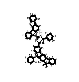 CC1(C)c2ccccc2-c2cc3c4cc(C5=NC(c6ccccc6)NC(n6c7ccccc7c7c8sc9ccccc9c8ccc76)=N5)ccc4n(-c4ccccc4)c3cc21